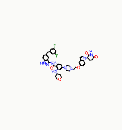 O=C1CCC(n2ccc3cc(OCCN4CCN(c5ccc(C(=O)Nc6n[nH]c7ccc(Cc8cc(F)cc(F)c8)cc67)c(NC6CCOCC6)c5)CC4)ccc32)C(=O)N1